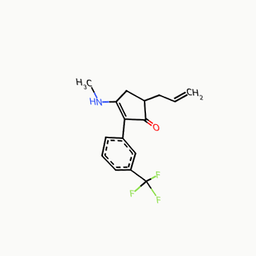 C=CCC1CC(NC)=C(c2cccc(C(F)(F)F)c2)C1=O